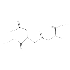 CCCCNC(=O)C(CC(=O)CC(C)C(=O)NC)CC(=O)NC